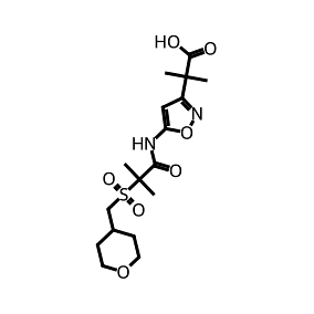 CC(C)(C(=O)O)c1cc(NC(=O)C(C)(C)S(=O)(=O)CC2CCOCC2)on1